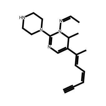 C#C/C=C\C=C(/C)C1=CN=C(N2CCNCC2)N(/N=C\C)C1C